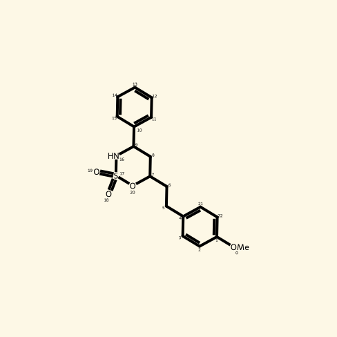 COc1ccc(CCC2CC(c3ccccc3)NS(=O)(=O)O2)cc1